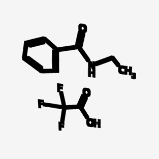 CCNC(=O)c1ccccc1.O=C(O)C(F)(F)F